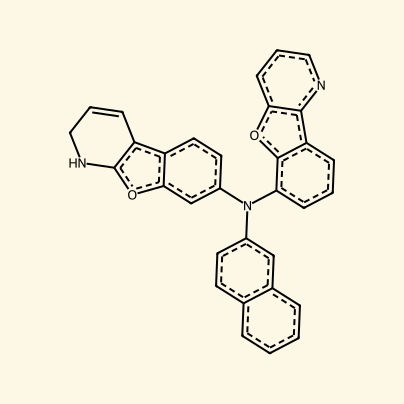 C1=Cc2c(oc3cc(N(c4ccc5ccccc5c4)c4cccc5c4oc4cccnc45)ccc23)NC1